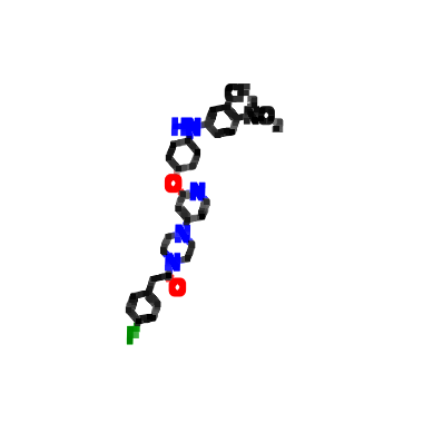 O=C(Cc1ccc(F)cc1)N1CCN(c2ccnc(O[C@H]3CC[C@H](Nc4ccc([N+](=O)[O-])c(C(F)(F)F)c4)CC3)c2)CC1